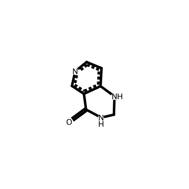 O=C1NCNc2ccncc21